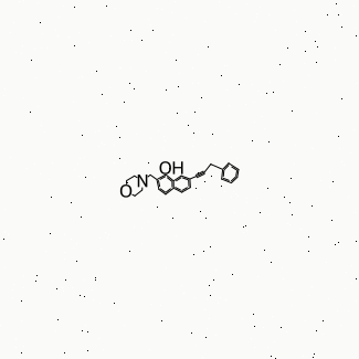 Oc1c(CN2CCOCC2)ccc2ccc(C#CCc3ccccc3)cc12